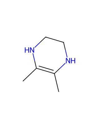 CC1=C(C)NCCN1